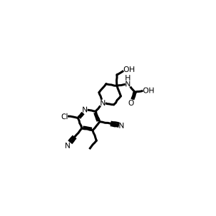 CCc1c(C#N)c(Cl)nc(N2CCC(CO)(NC(=O)O)CC2)c1C#N